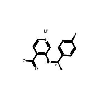 C[C@@H](Nc1cnccc1C(=O)[O-])c1ccc(F)cc1.[Li+]